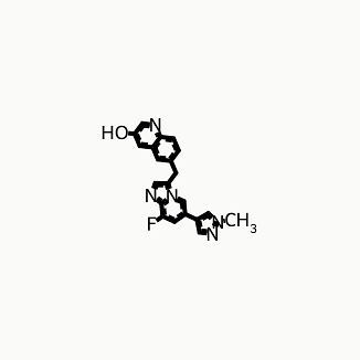 Cn1cc(-c2cc(F)c3ncc(Cc4ccc5ncc(O)cc5c4)n3c2)cn1